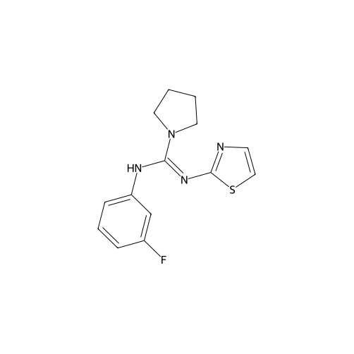 Fc1cccc(NC(=Nc2nccs2)N2CCCC2)c1